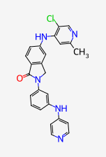 Cc1cc(Nc2ccc3c(c2)CN(c2cccc(Nc4ccncc4)c2)C3=O)c(Cl)cn1